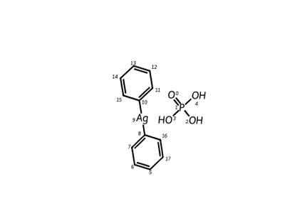 O=P(O)(O)O.c1cc[c]([Ag][c]2ccccc2)cc1